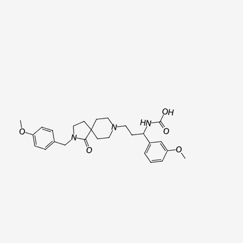 COc1ccc(CN2CCC3(CCN(CCC(NC(=O)O)c4cccc(OC)c4)CC3)C2=O)cc1